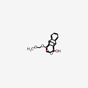 COCOC(=O)C1C2c3ccccc3C(c3ccccc32)C1C(=O)O